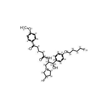 COc1ccc(C(=O)CCCC(=O)NC(CN2CCC(F)C2)[C@H](O)c2ccc(OCCCCF)cc2)cc1